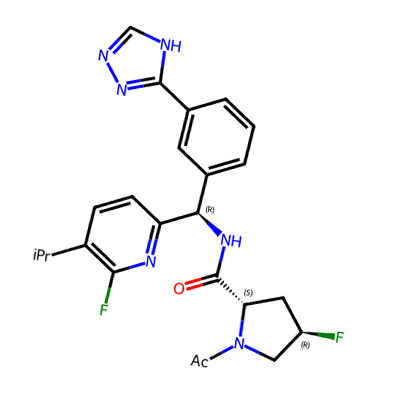 CC(=O)N1C[C@H](F)C[C@H]1C(=O)N[C@H](c1cccc(-c2nnc[nH]2)c1)c1ccc(C(C)C)c(F)n1